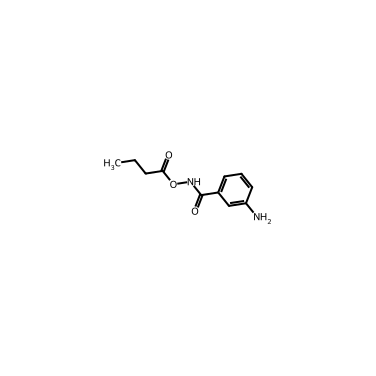 CCCC(=O)ONC(=O)c1cccc(N)c1